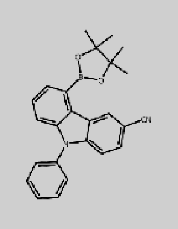 CC1(C)OB(c2cccc3c2c2cc(C#N)ccc2n3-c2ccccc2)OC1(C)C